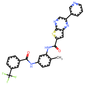 Cc1ccc(NC(=O)c2cccc(C(F)(F)F)c2)cc1NC(=O)c1cc2nc(-c3cccnc3)cnc2s1